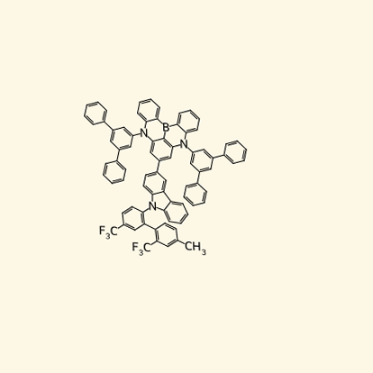 Cc1ccc(-c2cc(C(F)(F)F)ccc2-n2c3ccccc3c3cc(-c4cc5c6c(c4)N(c4cc(-c7ccccc7)cc(-c7ccccc7)c4)c4ccccc4B6c4ccccc4N5c4cc(-c5ccccc5)cc(-c5ccccc5)c4)ccc32)c(C(F)(F)F)c1